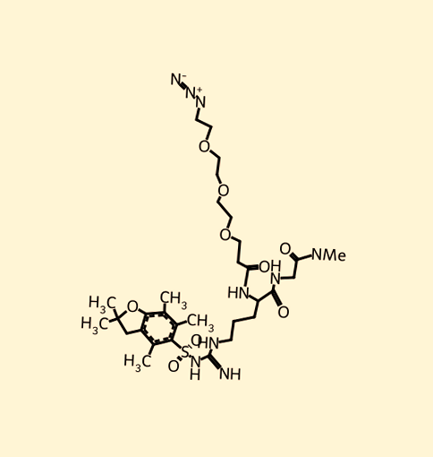 CNC(=O)CNC(=O)C(CCCNC(=N)NS(=O)(=O)c1c(C)c(C)c2c(c1C)CC(C)(C)O2)NC(=O)CCOCCOCCOCCN=[N+]=[N-]